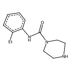 CCc1ccccc1NC(=O)N1CCNCC1